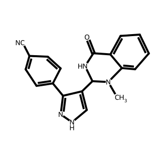 CN1c2ccccc2C(=O)NC1c1c[nH]nc1-c1ccc(C#N)cc1